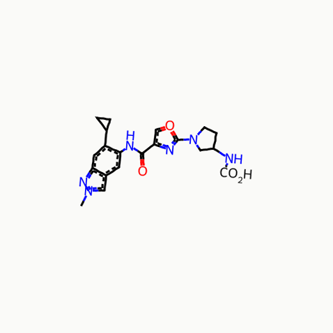 Cn1cc2cc(NC(=O)c3coc(N4CCC(NC(=O)O)C4)n3)c(C3CC3)cc2n1